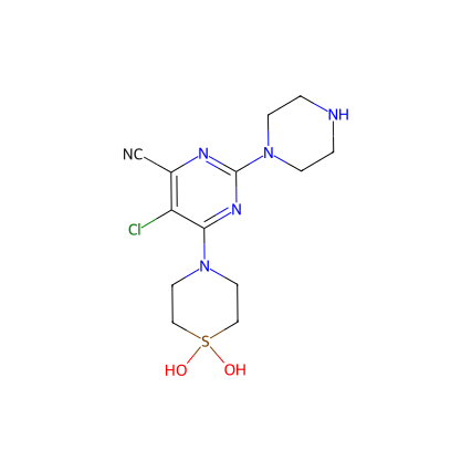 N#Cc1nc(N2CCNCC2)nc(N2CCS(O)(O)CC2)c1Cl